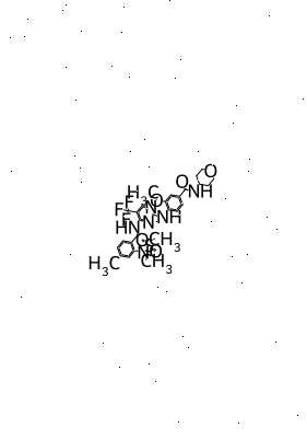 COc1cc(C(=O)NC2CCOCC2)ccc1Nc1ncc(C(F)(F)F)c(NCc2ccc(C)cc2N(C)S(C)(=O)=O)n1